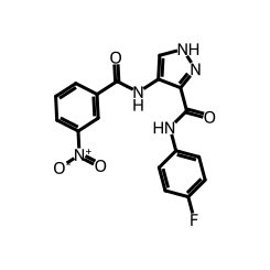 O=C(Nc1c[nH]nc1C(=O)Nc1ccc(F)cc1)c1cccc([N+](=O)[O-])c1